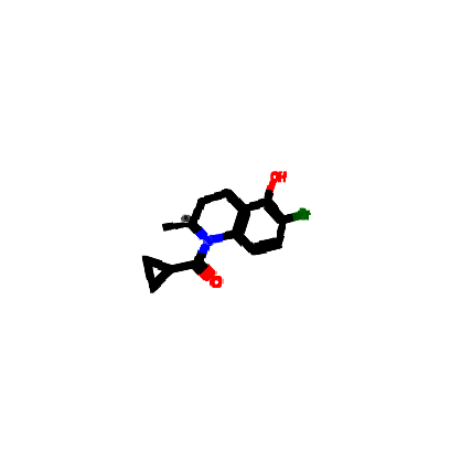 C[C@H]1CCc2c(ccc(Br)c2O)N1C(=O)C1CC1